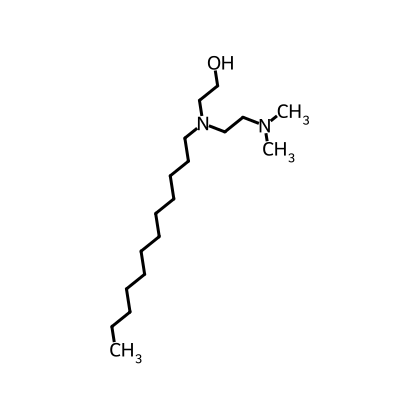 CCCCCCCCCCCCN(CCO)CCN(C)C